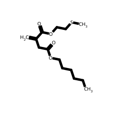 C=C(CC(=O)OCCCCCC)C(=O)OCCSC